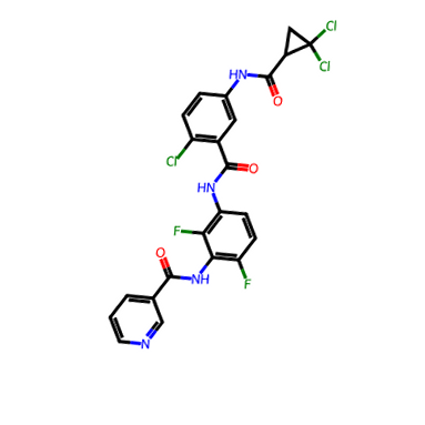 O=C(Nc1c(F)ccc(NC(=O)c2cc(NC(=O)C3CC3(Cl)Cl)ccc2Cl)c1F)c1cccnc1